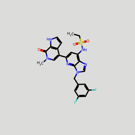 CCS(=O)(=O)Nc1cc(-c2cn(C)c(=O)c3[nH]ccc23)nc2c1ncn2Cc1cc(F)cc(F)c1